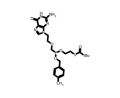 Cc1ccc(COP(COCCn2cnc3c(=O)[nH]c(N)nc32)OCCSC(=O)C(C)(C)C)cc1